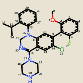 COc1cccc(F)c1-c1cc2c(cc1Cl)C(N1CCNCC1)=NCN2c1ccccc1C(C)C